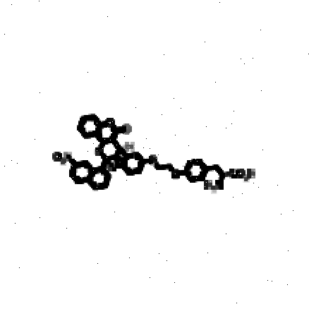 CC1(C)[C@@H]2c3cc(OCCOc4ccc(C[C@H](N)C(=O)O)cc4)ccc3NC1(c1cccc3ccc([N+](=O)[O-])cc13)Oc1c2c(=O)oc2ccccc12